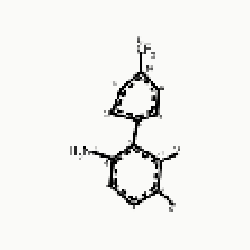 Cc1ccc(N)c(-c2ccc(C(F)(F)F)cc2)c1C